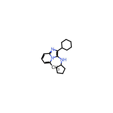 Cc1cccc2nc(C3CCCCC3)c(NC3CCCC3)n12